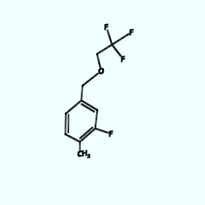 Cc1ccc(COCC(F)(F)F)cc1F